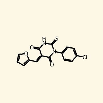 O=C1NC(=S)N(c2ccc(Cl)cc2)C(=O)C1=Cc1ccco1